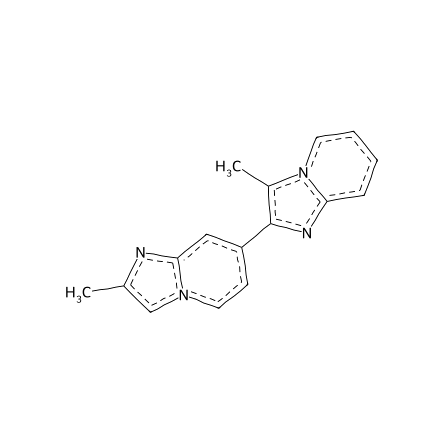 Cc1cn2ccc(-c3nc4ccccn4c3C)cc2n1